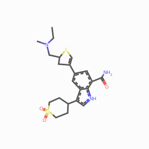 CCN(C)CC1CC(c2cc(C(N)=O)c3[nH]cc(C4CCS(=O)(=O)CC4)c3c2)=CS1